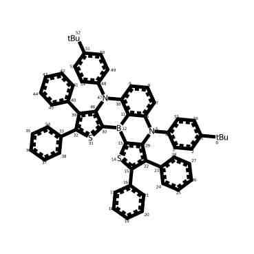 CC(C)(C)c1ccc(N2c3cccc4c3B(c3sc(-c5ccccc5)c(-c5ccccc5)c32)c2sc(-c3ccccc3)c(-c3ccccc3)c2N4c2ccc(C(C)(C)C)cc2)cc1